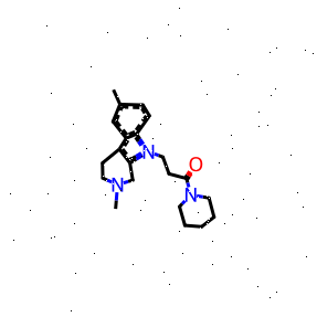 Cc1ccc2c(c1)c1c(n2CCC(=O)N2CCCCC2)CN(C)CC1